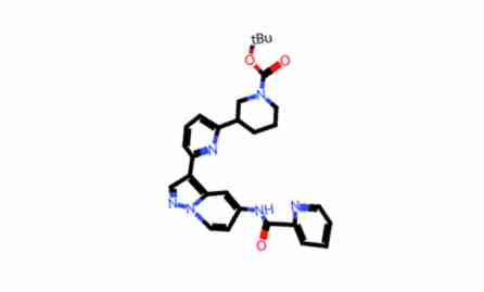 CC(C)(C)OC(=O)N1CCCC(c2cccc(-c3cnn4ccc(NC(=O)c5ccccn5)cc34)n2)C1